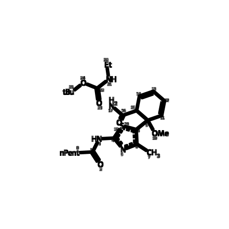 CCCCCC(=O)Nc1nc(C)c(C2(OC)C=CC=CC2C(N)=O)s1.CCNC(=O)OC(C)(C)C